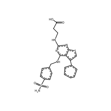 NS(=O)(=O)c1ccc(CNc2nc(NCCC(=O)O)nc3scc(-c4ccccc4)c23)cc1